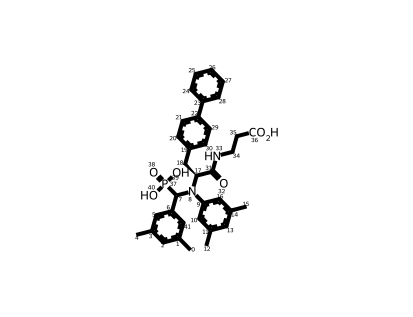 Cc1cc(C)cc(C(N(c2cc(C)cc(C)c2)[C@@H](Cc2ccc(-c3ccccc3)cc2)C(=O)NCCC(=O)O)P(=O)(O)O)c1